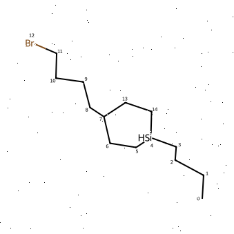 CCCC[SiH]1CCC(CCCCBr)CC1